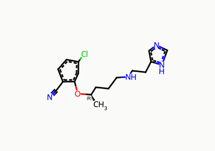 C[C@H](CCCNCCc1cnc[nH]1)Oc1cc(Cl)ccc1C#N